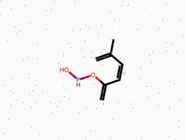 C=C(C)/C=C\C(=C)OPO